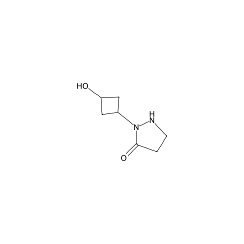 O=C1CCNN1C1CC(O)C1